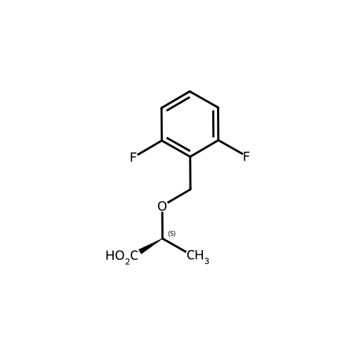 C[C@H](OCc1c(F)cccc1F)C(=O)O